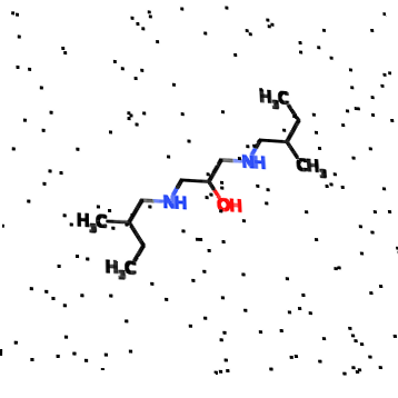 CCC(C)CNCC(O)CNCC(C)CC